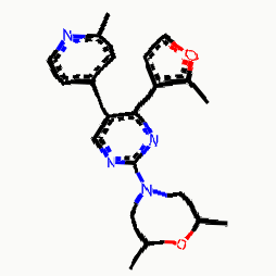 Cc1cc(-c2cnc(N3CC(C)OC(C)C3)nc2-c2ccoc2C)ccn1